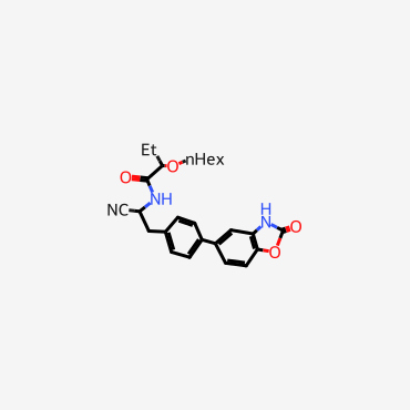 CCCCCCOC(CC)C(=O)NC(C#N)Cc1ccc(-c2ccc3oc(=O)[nH]c3c2)cc1